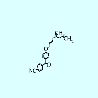 C=CCN(C)CC=CCOc1ccc(C(=O)c2ccc(C#N)cc2)cc1